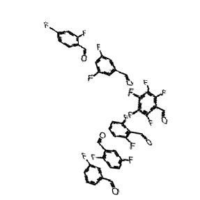 O=Cc1c(F)c(F)c(F)c(F)c1F.O=Cc1c(F)cccc1F.O=Cc1cc(F)cc(F)c1.O=Cc1cc(F)ccc1F.O=Cc1ccc(F)cc1F.O=Cc1cccc(F)c1